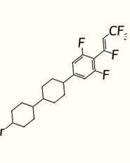 CCCC1CCC(C2CCC(c3cc(F)c(/C(F)=C/C(F)(F)F)c(F)c3)CC2)CC1